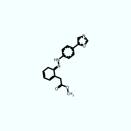 COC(=O)CC1=CC=CCC1=NNc1ccc(-c2cnco2)cc1